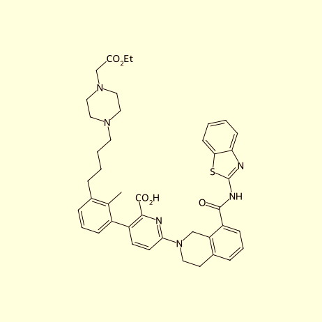 CCOC(=O)CN1CCN(CCCCc2cccc(-c3ccc(N4CCc5cccc(C(=O)Nc6nc7ccccc7s6)c5C4)nc3C(=O)O)c2C)CC1